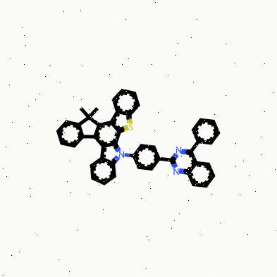 CC1(C)c2ccccc2-c2c1c1c3ccccc3sc1c1c2c2ccccc2n1-c1ccc(-c2nc(-c3ccccc3)c3ccccc3n2)cc1